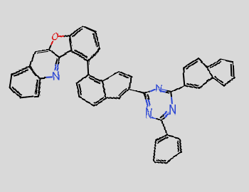 c1ccc(-c2nc(-c3ccc4ccccc4c3)nc(-c3ccc4c(-c5cccc6oc7cc8ccccc8nc7c56)cccc4c3)n2)cc1